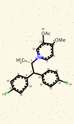 COc1cc[n+]([C@@H](C)C(c2ccc(F)cc2)c2ccc(F)cc2)cc1OC(C)=O